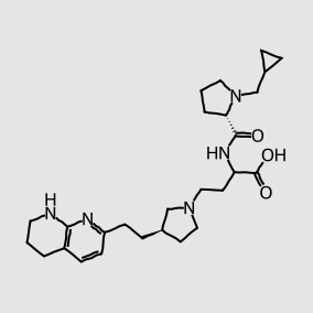 O=C(O)C(CCN1CC[C@@H](CCc2ccc3c(n2)NCCC3)C1)NC(=O)[C@@H]1CCCN1CC1CC1